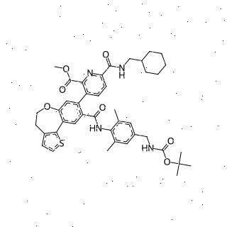 COC(=O)c1nc(C(=O)NCC2CCCCC2)ccc1-c1cc2c(cc1C(=O)Nc1c(C)cc(CNC(=O)OC(C)(C)C)cc1C)-c1sccc1CCO2